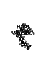 CC(C)(C)OC(=O)N(CCN(C(=O)OC(C)(C)C)c1ccc(N2CCc3cc([N+](=O)[O-])ccc32)nn1)C(=O)OC(C)(C)C